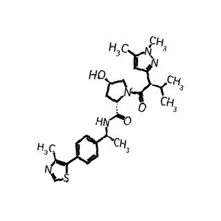 Cc1ncsc1-c1ccc([C@H](C)NC(=O)[C@@H]2C[C@@H](O)CN2C(=O)[C@@H](c2cc(C)n(C)n2)C(C)C)cc1